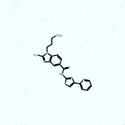 Cc1nc2cc(C(=O)Nc3nc(-c4ccccn4)cs3)ccc2n1CCCC(=O)O